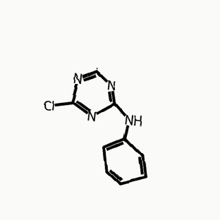 Clc1n[c]nc(Nc2ccccc2)n1